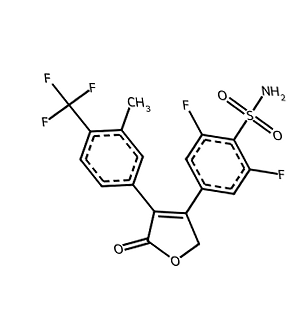 Cc1cc(C2=C(c3cc(F)c(S(N)(=O)=O)c(F)c3)COC2=O)ccc1C(F)(F)F